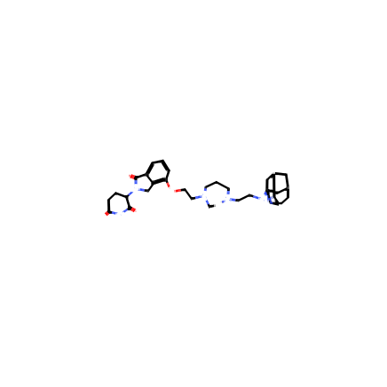 O=C1CCC(N2Cc3c(OCCN4CCCN(CCNC56CC7CC(CC(C7)C5)C6)CC4)cccc3C2=O)C(=O)N1